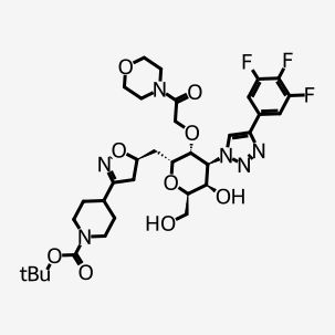 CC(C)(C)OC(=O)N1CCC(C2=NO[C@@H](C[C@H]3O[C@H](CO)[C@H](O)[C@H](n4cc(-c5cc(F)c(F)c(F)c5)nn4)[C@H]3OCC(=O)N3CCOCC3)C2)CC1